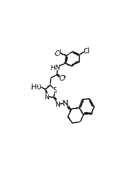 O=C(CC1S/C(=N\N=C2/CCCc3ccccc32)N=C1O)Nc1ccc(Cl)cc1Cl